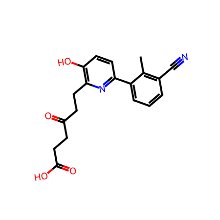 Cc1c(C#N)cccc1-c1ccc(O)c(CCC(=O)CCC(=O)O)n1